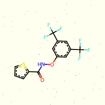 O=C(NOc1cc(C(F)(F)F)cc(C(F)(F)F)c1)c1cccs1